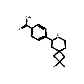 COC(=O)c1ccc(C2CC3(CCN2)CC(C)(F)C3)cc1